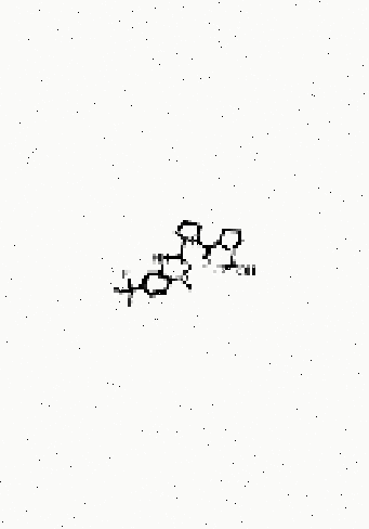 COc1ccc(C(F)(F)F)cc1NC(=O)C1CCCN1C(=O)C1CCCN1C(=O)O